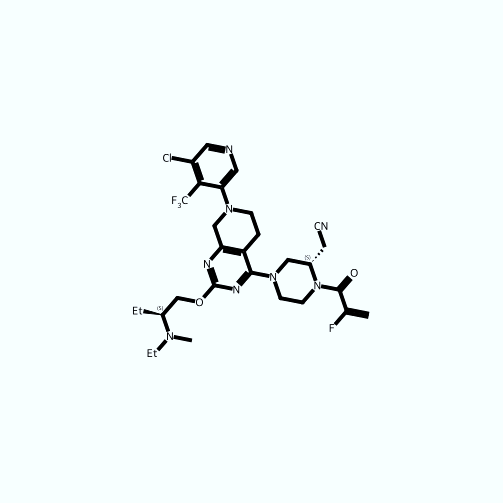 C=C(F)C(=O)N1CCN(c2nc(OC[C@H](CC)N(C)CC)nc3c2CCN(c2cncc(Cl)c2C(F)(F)F)C3)C[C@@H]1CC#N